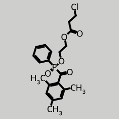 Cc1cc(C)c(C(=O)P(=O)(OCCOC(=O)CCCl)c2ccccc2)c(C)c1